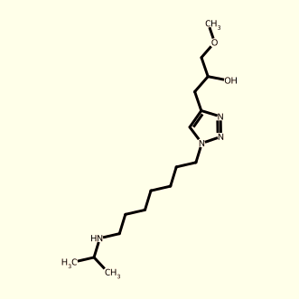 COCC(O)Cc1cn(CCCCCCCNC(C)C)nn1